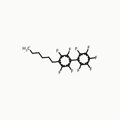 CCCCCCc1c(F)c(F)c(-c2c(F)c(F)c(F)c(F)c2F)c(F)c1F